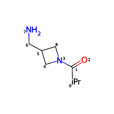 CC(C)C(=O)N1CC(CN)C1